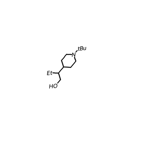 CCC(CO)C1CCN(C(C)(C)C)CC1